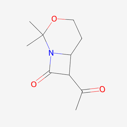 CC(=O)C1C(=O)N2C1CCOC2(C)C